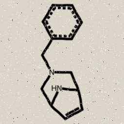 C1=CC2CN(Cc3ccccc3)CC1N2